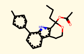 CCCC1(OC(C)=O)OCCc2c1[nH]c1c(-c3ccc(C)cc3)cccc21